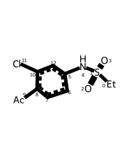 CCS(=O)(=O)Nc1ccc(C(C)=O)c(Cl)c1